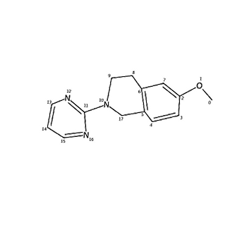 COc1ccc2c(c1)CCN(c1ncccn1)C2